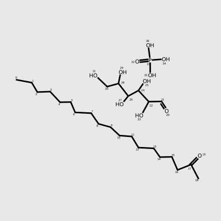 CCCCCCCCCCCCCCCCCC(C)=O.O=CC(O)C(O)C(O)C(O)CO.O=P(O)(O)O